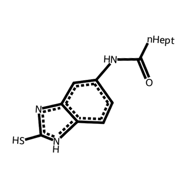 CCCCCCCC(=O)Nc1ccc2[nH]c(S)nc2c1